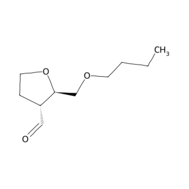 CCCCOC[C@@H]1OCC[C@H]1C=O